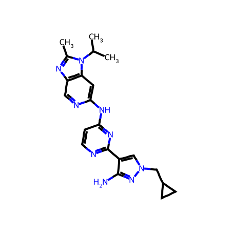 Cc1nc2cnc(Nc3ccnc(-c4cn(CC5CC5)nc4N)n3)cc2n1C(C)C